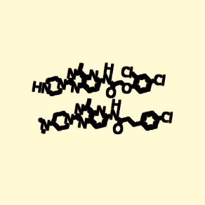 Cc1nc(N2CCC(N(C)C)CC2)nc2ccc(NC(=O)CCc3ccc(Cl)cc3)nc12.Cc1nc(N2CCNCC2)nc2ccc(NC(=O)COc3ccc(Cl)cc3Cl)nc12